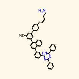 N#Cc1cc(C2=CCC(C/C=C\CCN)C=C2)cc(-c2ccc(-c3cccc(C4=NC(c5ccccc5)=NC(c5ccccc5)N4)c3)c3ccccc23)c1